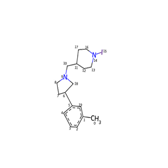 Cc1cccc(C2CCN(CC3CCN(I)CC3)C2)c1